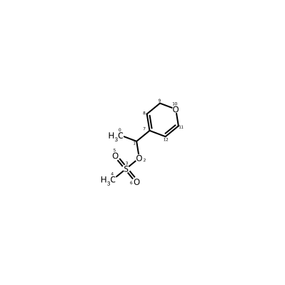 CC(OS(C)(=O)=O)C1=CCOC=C1